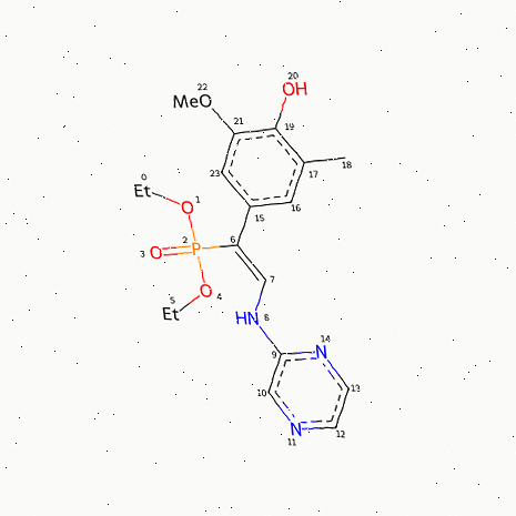 CCOP(=O)(OCC)/C(=C\Nc1cnccn1)c1cc(C)c(O)c(OC)c1